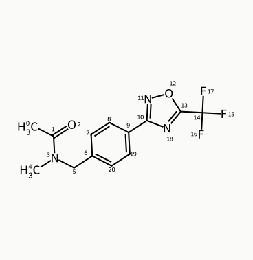 CC(=O)N(C)Cc1ccc(-c2noc(C(F)(F)F)n2)cc1